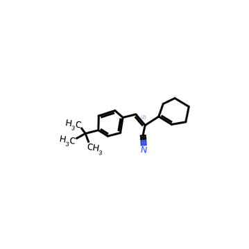 CC(C)(C)c1ccc(/C=C(\C#N)C2=CCCCC2)cc1